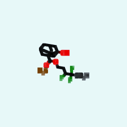 O=C(OCCC(F)C(F)(F)S(=O)(=O)O)C12CC3CC(CC(O)(C3)C1)C2.S